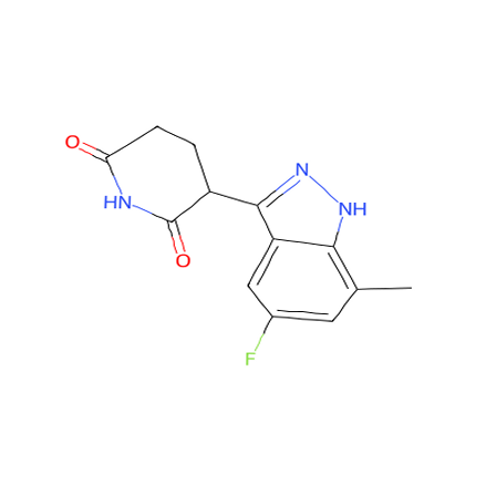 Cc1cc(F)cc2c(C3CCC(=O)NC3=O)n[nH]c12